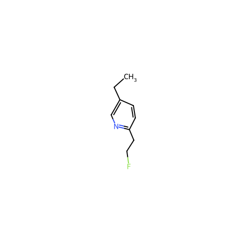 CCc1ccc(CCF)nc1